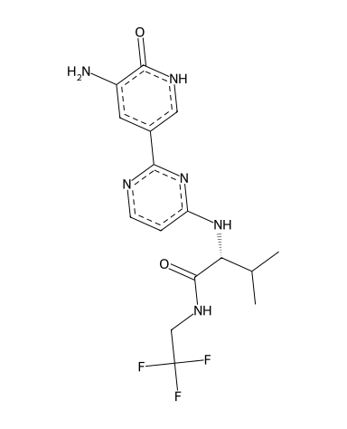 CC(C)[C@@H](Nc1ccnc(-c2c[nH]c(=O)c(N)c2)n1)C(=O)NCC(F)(F)F